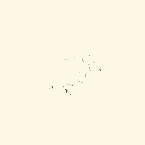 CC(O)c1ccc2cncc(-c3ccc(-c4cnn(CCN(C)C)c4)cc3)c2c1